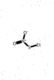 CCS[N+](=O)[O-]